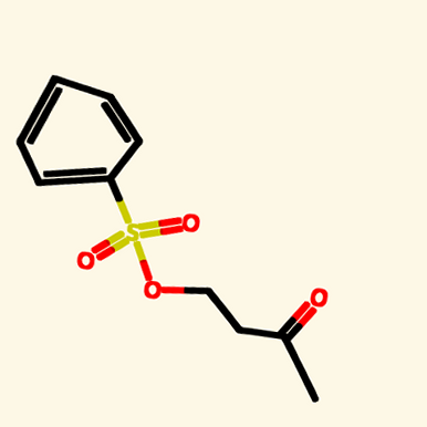 CC(=O)CCOS(=O)(=O)c1ccccc1